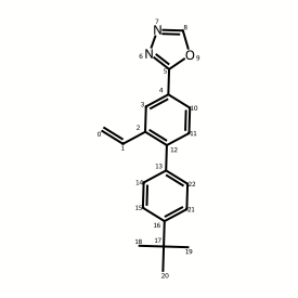 C=Cc1cc(-c2nnco2)ccc1-c1ccc(C(C)(C)C)cc1